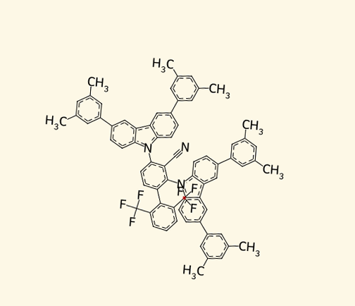 Cc1cc(C)cc(-c2ccc3c(c2)c2cc(-c4cc(C)cc(C)c4)ccc2n3-c2ccc(-c3c(C(F)(F)F)cccc3C(F)(F)F)c(-n3c4ccc(-c5cc(C)cc(C)c5)cc4c4cc(-c5cc(C)cc(C)c5)ccc43)c2C#N)c1